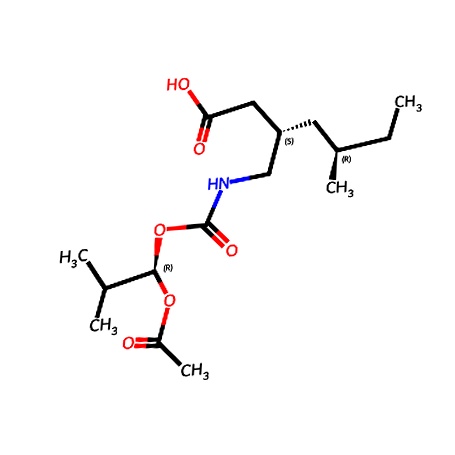 CC[C@@H](C)C[C@H](CNC(=O)O[C@@H](OC(C)=O)C(C)C)CC(=O)O